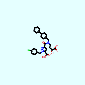 O=C(O)c1cc(C(=O)N(CCC(O)C(=O)O)Cc2ccc(-c3ccccc3)cc2)nn1Cc1ccc(Cl)cc1